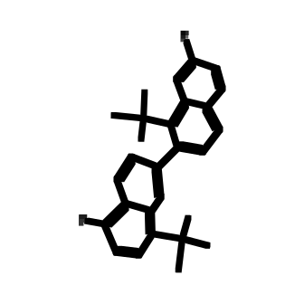 CC(C)(C)c1c(-c2ccc3c(F)ccc(C(C)(C)C)c3c2)ccc2ccc(F)cc12